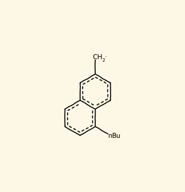 [CH2]c1ccc2c(CCCC)cccc2c1